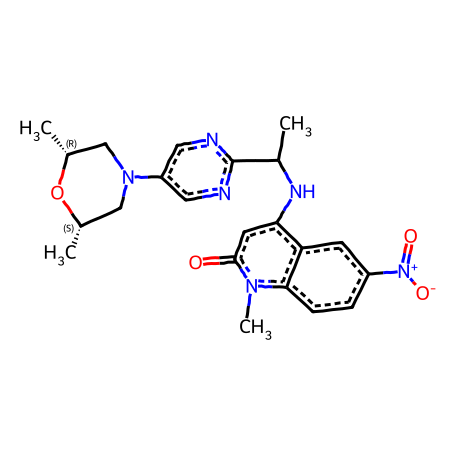 CC(Nc1cc(=O)n(C)c2ccc([N+](=O)[O-])cc12)c1ncc(N2C[C@@H](C)O[C@@H](C)C2)cn1